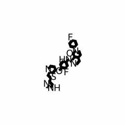 O=c1c2c(Nc3ccc(Oc4ccnc5cc(-c6c[nH]cn6)sc45)c(F)c3)nccc2ccn1-c1ccc(F)cc1